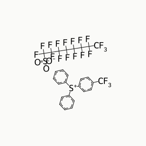 FC(F)(F)c1ccc([S+](c2ccccc2)c2ccccc2)cc1.O=S(=O)([O-])C(F)(F)C(F)(F)C(F)(F)C(F)(F)C(F)(F)C(F)(F)C(F)(F)C(F)(F)F